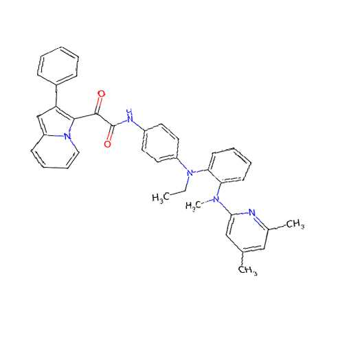 CCN(c1ccc(NC(=O)C(=O)c2c(-c3ccccc3)cc3ccccn23)cc1)c1ccccc1N(C)c1cc(C)cc(C)n1